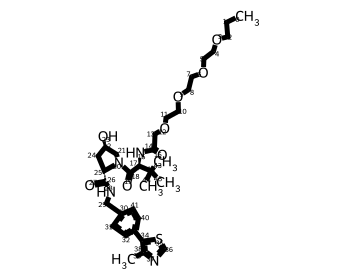 CCCOCCOCCOCCOCC(=O)N[C@H](C(=O)N1C[C@H](O)C[C@H]1C(=O)NCc1ccc(-c2scnc2C)cc1)C(C)(C)C